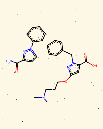 CN(C)CCCOc1cc(C(=O)O)n(Cc2ccccc2)n1.NC(=O)c1ccn(-c2ccccc2)n1